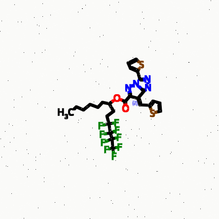 CCCCCCC(CCC(F)(F)C(F)(F)C(F)(F)C(F)(F)F)OC(=O)c1nn2c(-c3cccs3)nnc2/c1=C\c1cccs1